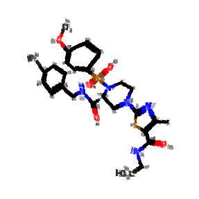 Cc1nc(N2CCN(S(=O)(=O)c3ccc(OC(F)(F)F)cc3)[C@@H](C(=O)NCc3ccc(C(C)C)cc3)C2)sc1C(=O)NCC(=O)O